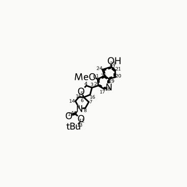 COc1c(C2COC3(CCN(C(=O)OC(C)(C)C)CC3)C2)cnc2ccc(O)cc12